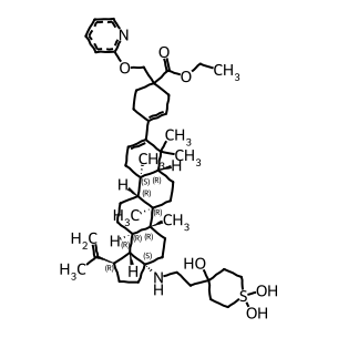 C=C(C)[C@@H]1CC[C@]2(NCCC3(O)CCS(O)(O)CC3)CC[C@]3(C)[C@H](CC[C@@H]4[C@@]5(C)CC=C(C6=CCC(COc7ccccn7)(C(=O)OCC)CC6)C(C)(C)[C@@H]5CC[C@]43C)[C@@H]12